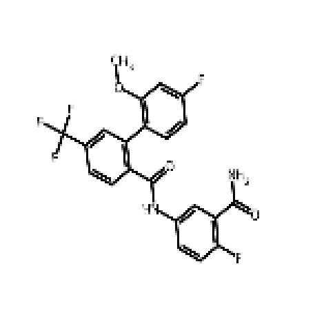 COc1cc(F)ccc1-c1cc(C(F)(F)F)ccc1C(=O)Nc1ccc(F)c(C(N)=O)c1